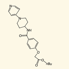 CCCCOC(=O)COc1ccc(C(=O)NC2CCN(c3ccncc3)CC2)cc1